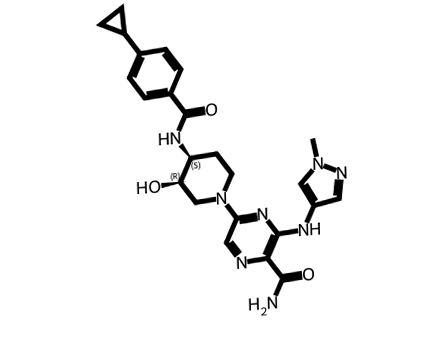 Cn1cc(Nc2nc(N3CC[C@H](NC(=O)c4ccc(C5CC5)cc4)[C@H](O)C3)cnc2C(N)=O)cn1